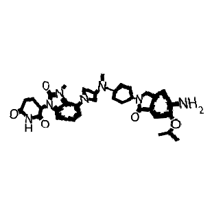 CC(C)Oc1cc2c(cc1N)CN([C@H]1CC[C@H](N(C)C3CN(c4cccc5c4n(C)c(=O)n5C4CCC(=O)NC4=O)C3)CC1)C2=O